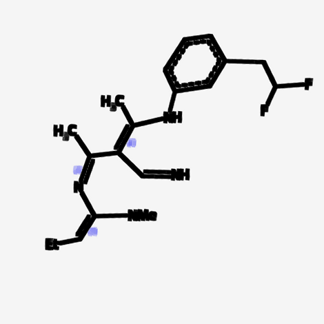 CC\C=C(/N=C(C)\C(C=N)=C(/C)Nc1cccc(CC(F)F)c1)NC